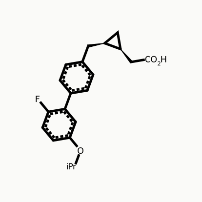 CC(C)Oc1ccc(F)c(-c2ccc(C[C@H]3C[C@H]3CC(=O)O)cc2)c1